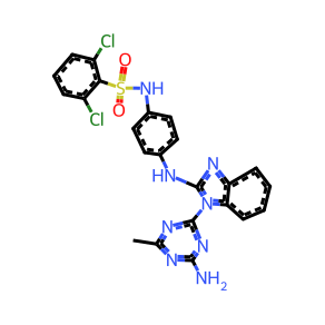 Cc1nc(N)nc(-n2c(Nc3ccc(NS(=O)(=O)c4c(Cl)cccc4Cl)cc3)nc3ccccc32)n1